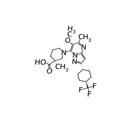 COc1c(C)nc2cc([C@H]3CC[C@H](C(F)(F)F)CC3)nn2c1N1CCC[C@](C)(C(=O)O)C1